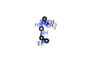 CCn1c2ccccc2c2cc(CN[C@H]3CC[C@@H](Nc4nc(N(C)C)c5ccccc5n4)CC3)ccc21